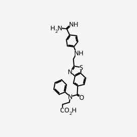 N=C(N)c1ccc(NCc2nc3cc(C(=O)N(CCC(=O)O)c4ccccc4)ccc3s2)cc1